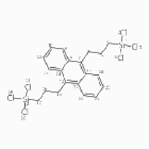 Cl[Si](Cl)(Cl)CCCc1c2ccccc2c(CCC[Si](Cl)(Cl)Cl)c2ccccc12